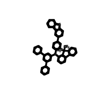 CC1(C)c2ccccc2-c2cccc(N(c3ccc(-c4ccc5sc6ccccc6c5c4)cc3)c3cc(-c4ccccc4)cc(-c4ccccc4)c3)c21